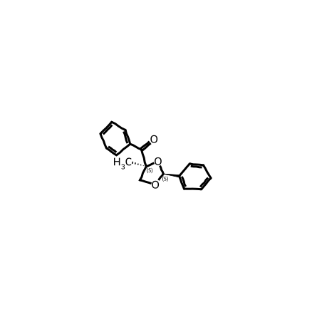 C[C@@]1(C(=O)c2ccccc2)CO[C@H](c2ccccc2)O1